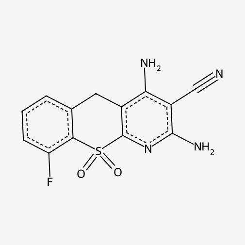 N#Cc1c(N)nc2c(c1N)Cc1cccc(F)c1S2(=O)=O